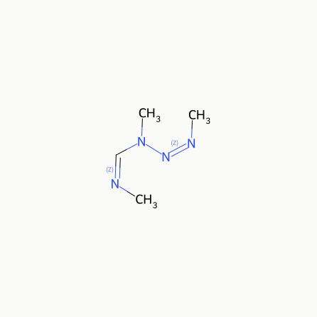 C/N=C\N(C)/N=N\C